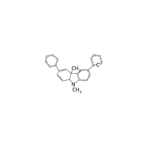 CN1c2ccc(-c3ccccc3)cc2C2(C)C=C(c3ccccc3)C=CC12